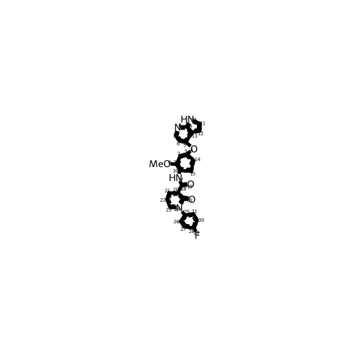 COc1cc(Oc2ccnc3[nH]ccc23)ccc1NC(=O)c1cccn(-c2ccc(F)cc2)c1=O